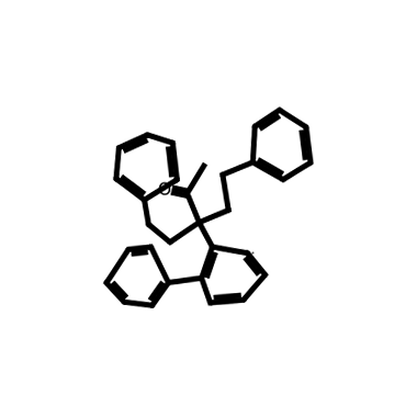 CC(=O)C(CCc1ccccc1)(CCc1ccccc1)c1[c]cccc1-c1ccccc1